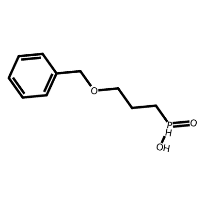 O=[PH](O)CCCOCc1ccccc1